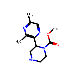 Cc1cnc(C2CNCCN2C(=O)OC(C)(C)C)c(C)n1